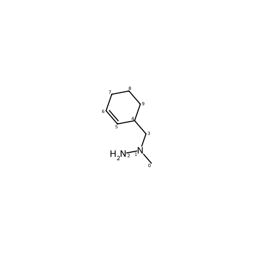 CN(N)CC1C=CCCC1